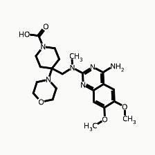 COc1cc2nc(N(C)CC3(N4CCOCC4)CCN(C(=O)O)CC3)nc(N)c2cc1OC